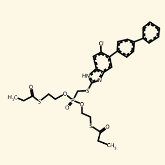 CCC(=O)SCCOP(=O)(CSc1nc2cc(-c3ccc(-c4ccccc4)cc3)c(Cl)cc2[nH]1)OCCSC(=O)CC